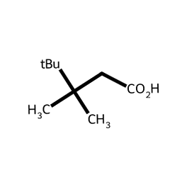 CC(C)(C)C(C)(C)CC(=O)O